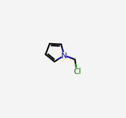 ClCn1cccc1